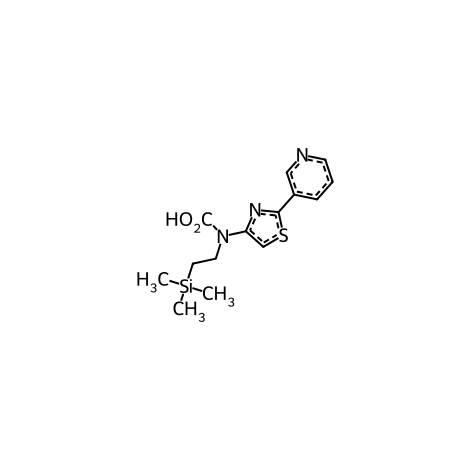 C[Si](C)(C)CCN(C(=O)O)c1csc(-c2cccnc2)n1